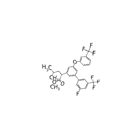 COC(=O)C(CC(C)C)c1cc(Oc2cccc(C(F)(F)F)c2)cc(-c2cc(F)cc(C(F)(F)F)c2)c1